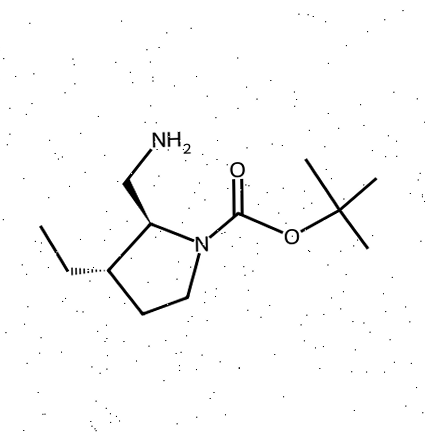 CC[C@H]1CCN(C(=O)OC(C)(C)C)[C@@H]1CN